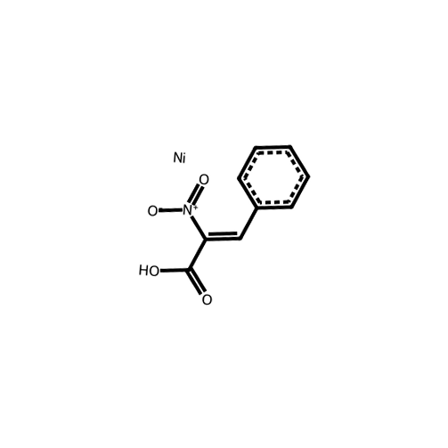 O=C(O)C(=Cc1ccccc1)[N+](=O)[O-].[Ni]